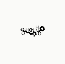 COC(=O)CCC/C=C1/SC[C@@H](NC(=O)c2ccccc2)/C1=N/O